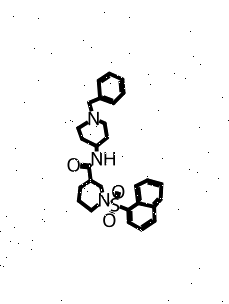 O=C(NC1CCN(Cc2ccccc2)CC1)C1CCCN(S(=O)(=O)c2cccc3ccccc23)C1